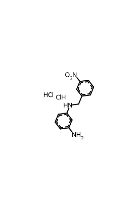 Cl.Cl.Nc1cccc(NCc2cccc([N+](=O)[O-])c2)c1